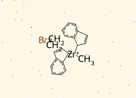 C=C.[Br-].[CH3][Zr+]([CH]1C=Cc2ccccc21)[CH]1C=Cc2ccccc21